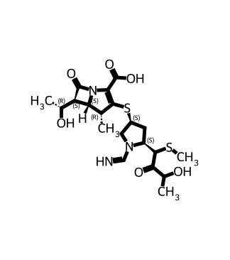 CSC(C(=O)C(C)O)[C@@H]1C[C@H](SC2=C(C(=O)O)N3C(=O)[C@H]([C@@H](C)O)[C@H]3[C@H]2C)CN1C=N